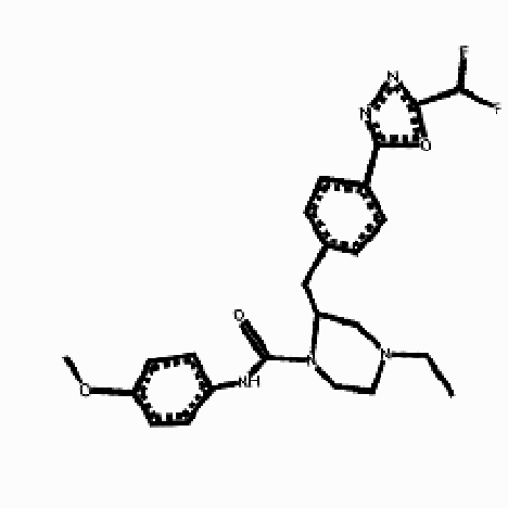 CCN1CCN(C(=O)Nc2ccc(OC)cc2)C(Cc2ccc(-c3nnc(C(F)F)o3)cc2)C1